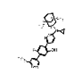 COc1cc(-c2cc(O)c(-c3ccc(N(C4CC4)[C@H]4C[C@]5(C)CCC[C@](C)(C4)C5)nn3)cc2F)cnn1